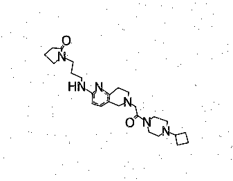 O=C1CCCN1CCCNc1ccc2c(n1)CCN(CC(=O)N1CCN(C3CCC3)CC1)C2